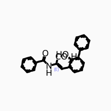 O=C(O)/C(=C\c1cccc(-c2ccccc2)c1O)NC(=O)c1ccccc1